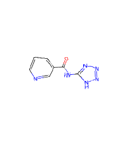 O=C(Nc1nnn[nH]1)c1cccnc1